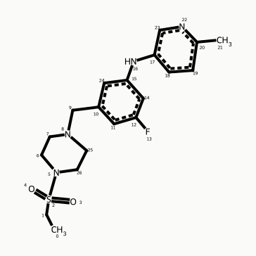 CCS(=O)(=O)N1CCN(Cc2cc(F)cc(Nc3ccc(C)nc3)c2)CC1